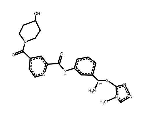 Cn1cnnc1S[C@@H](N)c1cccc(NC(=O)c2cc(C(=O)N3CCC(O)CC3)ccn2)c1